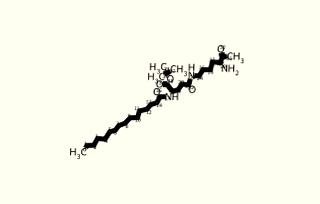 CCCCCCCCCCCCCCCC(=O)NC(CCC(=O)NCCCCC(N)C(C)=O)C(=O)OC(C)(C)C